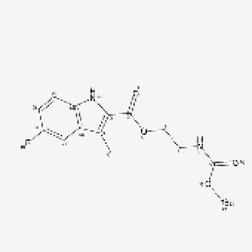 Cc1c(C(=O)OCCNC(=O)OC(C)(C)C)[nH]c2ccc(F)cc12